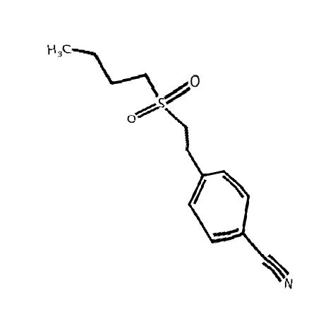 CCCCS(=O)(=O)CCc1ccc(C#N)cc1